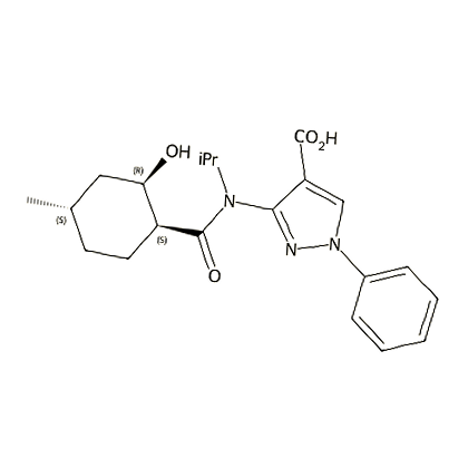 CC(C)N(C(=O)[C@H]1CC[C@H](C)C[C@H]1O)c1nn(-c2ccccc2)cc1C(=O)O